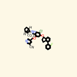 N#Cc1cncc(COc2cc(O[C@H]3CCc4c(-c5ccccc5F)cccc43)c(Cl)cc2CN[C@H]2[C@H]3CC[C@@H](C3)[C@@H]2C(=O)O)c1